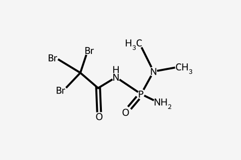 CN(C)P(N)(=O)NC(=O)C(Br)(Br)Br